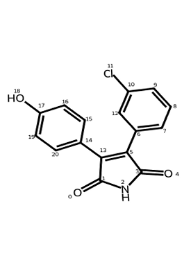 O=C1NC(=O)C(c2cccc(Cl)c2)=C1c1ccc(O)cc1